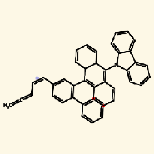 C=C=C/C=C\c1ccc(-c2ccccc2)c(C2=c3ccccc3=C(n3c4ccccc4c4ccccc43)C3C=CC=CC23)c1